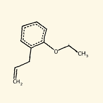 C=CCc1ccccc1O[CH]C